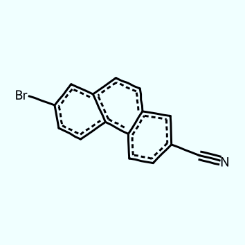 N#Cc1ccc2c(ccc3cc(Br)ccc32)c1